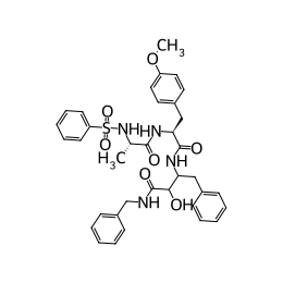 COc1ccc(C[C@H](NC(=O)[C@H](C)NS(=O)(=O)c2ccccc2)C(=O)NC(Cc2ccccc2)C(O)C(=O)NCc2ccccc2)cc1